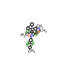 CC1=Nc2c(C)cc(C3(c4cc(C(F)(F)F)c5c(c4)C(C)(C(F)(F)F)OC(c4ccc(C(c6ccc(C)cc6)(C(F)(F)F)C(F)(F)F)cc4)=N5)c4ccccc4-c4ccccc43)cc2C(C)(C(F)(F)F)O1